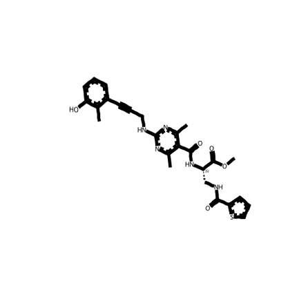 COC(=O)[C@H](CNC(=O)c1cccs1)NC(=O)c1c(C)nc(NCC#Cc2cccc(O)c2C)nc1C